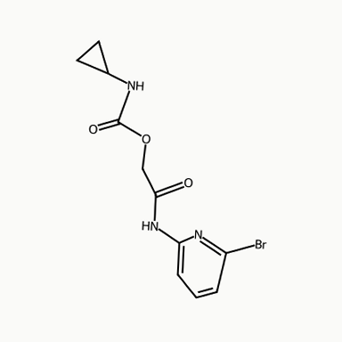 O=C(COC(=O)NC1CC1)Nc1cccc(Br)n1